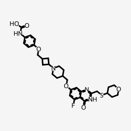 O=C(O)Nc1ccc(OCC2CC(N3CCC(COc4cc(F)c5c(=O)[nH]c(CSC6CCOCC6)nc5c4)CC3)C2)cc1